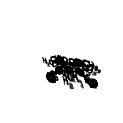 Cc1cc2c3c(c1)N(c1c(C)cc(-c4cc5ccccc5s4)cc1C)c1c(oc4ccc(C(C)(C)C)cc14)B3c1oc3ccc(C(C)(C)C)cc3c1N2c1c(C)cc(-c2cc3ccccc3s2)cc1C